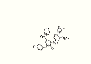 COc1cc(Nc2cc(C(=O)N3CCOCC3)cn(Cc3ccc(F)cc3)c2=O)ccc1-n1cnc(C)c1